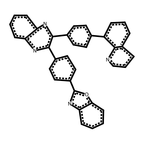 c1cnc2c(-c3ccc(-c4nc5ccccc5nc4-c4ccc(-c5nc6ccccc6o5)cc4)cc3)cccc2c1